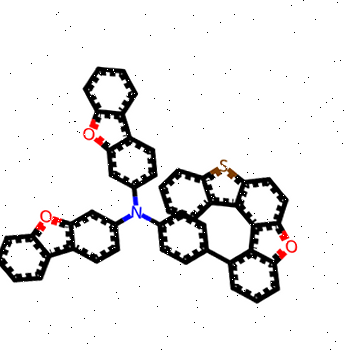 c1ccc2c(c1)oc1cc(N(c3ccc(-c4cccc5oc6ccc7sc8ccccc8c7c6c45)cc3)c3ccc4c(c3)oc3ccccc34)ccc12